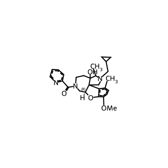 COc1ccc(C)c2c1O[C@H]1CN(C(=O)c3ccccn3)CCC3(O)C(C)N(CC4CC4)CCC213